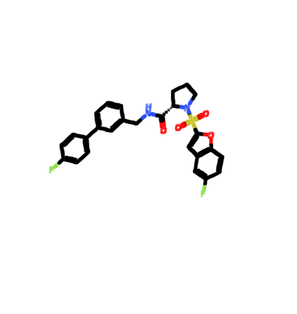 O=C(NCc1cccc(-c2ccc(F)cc2)c1)[C@@H]1CCCN1S(=O)(=O)c1cc2cc(F)ccc2o1